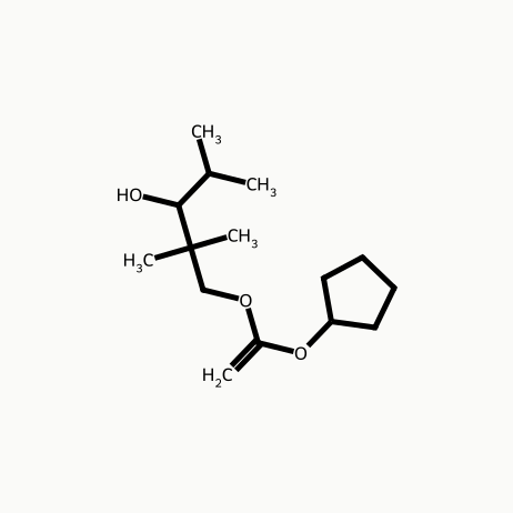 C=C(OCC(C)(C)C(O)C(C)C)OC1CCCC1